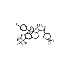 C[C@@H]1CC2(S(=O)(=O)c3ccc(F)cc3)c3ccc(C(F)(C(F)(F)F)C(F)(F)F)cc3CCC2N1C(=O)C1CCS(=O)(=O)CC1